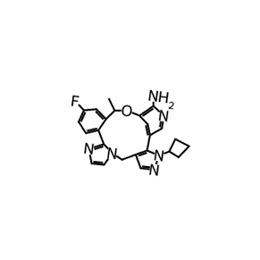 CC1Oc2cc(cnc2N)-c2c(cnn2C2CCC2)Cn2ccnc2-c2ccc(F)cc21